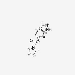 O=C(Oc1ccc2cn[nH]c2c1)N1CCCC1